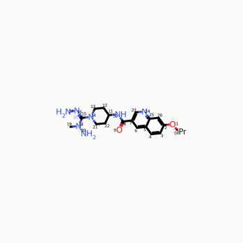 CC(C)Oc1ccc2cc(C(=O)NC3CCN(/C(=N/N)N(C)N)CC3)cnc2c1